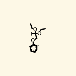 CCOC(I)(COc1[c]cccc1)OCC